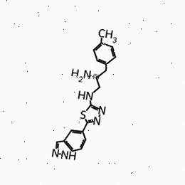 Cc1ccc(C[C@@H](N)CNc2nnc(-c3ccc4[nH]ncc4c3)s2)cc1